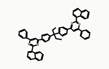 CCC(CC)(c1ccc(-c2cc(-c3ccccc3)nc(-c3cccc4ccccc34)n2)cc1)c1ccc(-c2cc(-c3ccccc3)nc(-c3cccc4ccccc34)n2)cc1